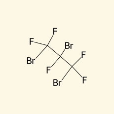 FC(F)(Br)C(F)(Br)C(F)(F)Br